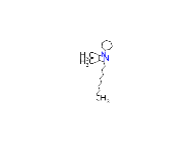 CCCCCCCCCC1=NN(C2CCCCCC2)C(CC)C1CC